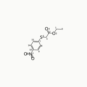 CCOC(=O)CSc1ccc([N+](=O)[O-])cc1